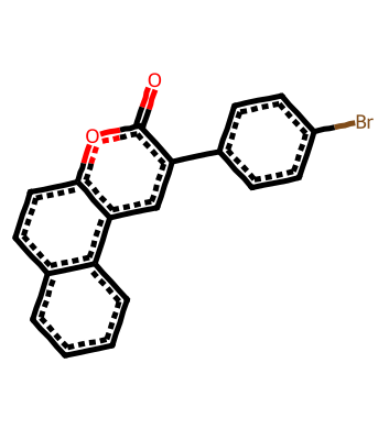 O=c1oc2ccc3ccccc3c2cc1-c1ccc(Br)cc1